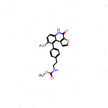 CC(=O)Oc1ccc2[nH]c(=O)c3sccc3c2c1-c1ccc(CCNC(=O)OC(C)(C)C)cc1